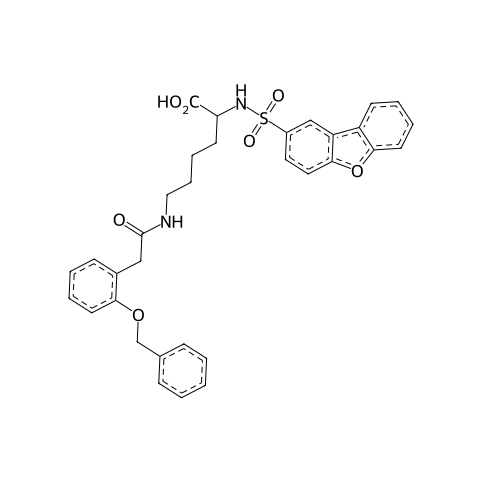 O=C(Cc1ccccc1OCc1ccccc1)NCCCCC(NS(=O)(=O)c1ccc2oc3ccccc3c2c1)C(=O)O